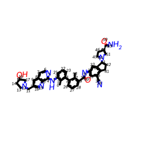 Cc1c(Nc2nccc3cc(CN4CC[C@@H](O)C4)cnc23)cccc1-c1cccc(-c2nc3cc4c(c(C#N)c3o2)CCC4N2CC[C@@H](C(N)=O)C2)c1C